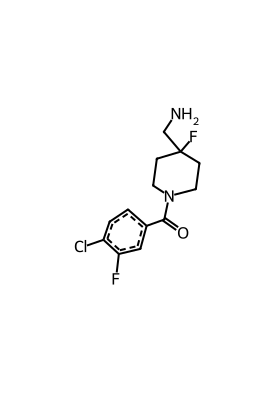 NCC1(F)CCN(C(=O)c2ccc(Cl)c(F)c2)CC1